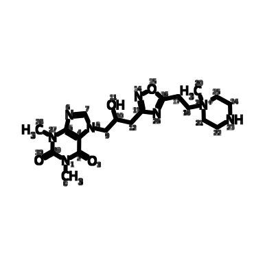 Cn1c(=O)c2c(ncn2CC(O)Cc2noc(CC[N+]3(C)CCNCC3)n2)n(C)c1=O